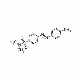 CN(C)S(=O)(=O)c1ccc(/N=N/c2ccc(N)cc2)cc1